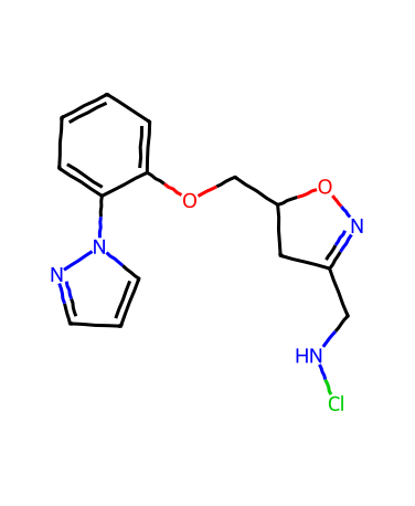 ClNCC1=NOC(COc2ccccc2-n2cccn2)C1